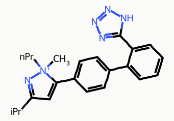 CCC[N+]1(C)N=C(C(C)C)C=C1c1ccc(-c2ccccc2-c2nnn[nH]2)cc1